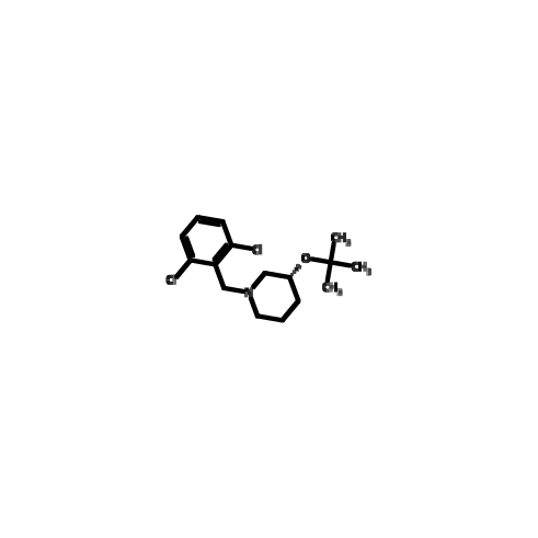 CC(C)(C)O[C@@H]1CCCN(Cc2c(Cl)cccc2Cl)C1